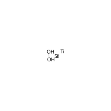 OO.[Si].[Ti]